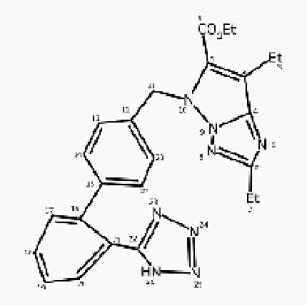 CCOC(=O)c1c(CC)c2nc(CC)nn2n1Cc1ccc(-c2ccccc2-c2nnn[nH]2)cc1